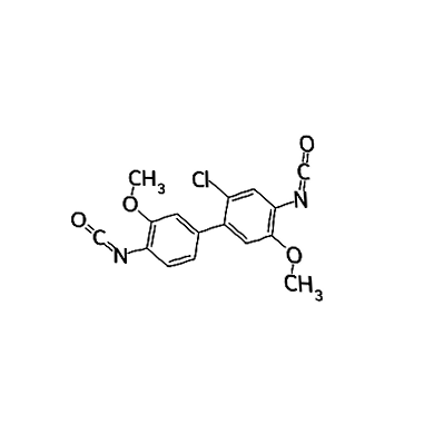 COc1cc(-c2cc(OC)c(N=C=O)cc2Cl)ccc1N=C=O